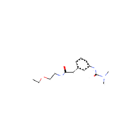 CCOCCNC(=O)Cc1cccc(NC(=O)N(C)C)c1